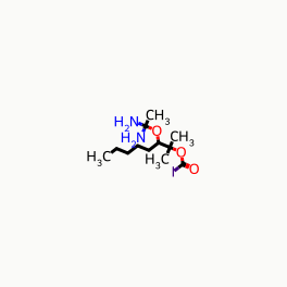 CCCCCC(OC(C)(N)N)C(C)(C)OC(=O)I